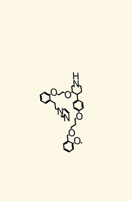 COc1ccccc1COCCCOc1ccc(C2CCNCC2OCCOc2ccccc2CCn2ccnc2)cc1